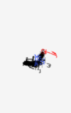 C=C(N[C@H](CN1CCC(C)(c2ccccc2)CC1)C(C)C)[C@@]1(C)Cc2ccc(O)cc2CN1